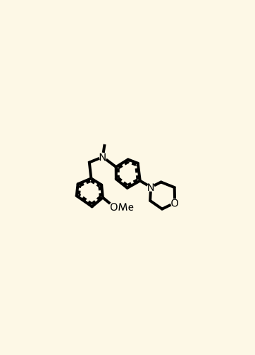 COc1cccc(CN(C)c2ccc(N3CCOCC3)cc2)c1